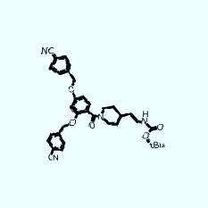 CC(C)(C)OC(=O)NCCC1CCN(C(=O)c2ccc(OCc3ccc(C#N)cc3)cc2OCc2ccc(C#N)cc2)CC1